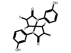 O=C1C(F)C(F)C2(C(F)C(F)C(=O)N2c2cccc(O)c2)N1c1cccc(O)c1